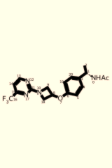 CC(=O)N[C@@H](C)c1ccc(OC2CN(c3nccc(C(F)(F)F)n3)C2)cc1